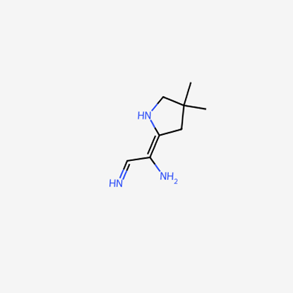 CC1(C)CN/C(=C(/N)C=N)C1